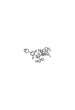 CC(C)(C)OC(=O)Nc1sc(-c2c(F)cc(C3CCOCC3)cc2F)nc1C(=O)O